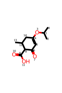 CC(C)OC1=CC(=O)C(C(=O)O)C(C)C1